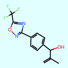 C=C(C)C(O)c1ccc(-c2noc(C(F)(F)F)n2)cc1